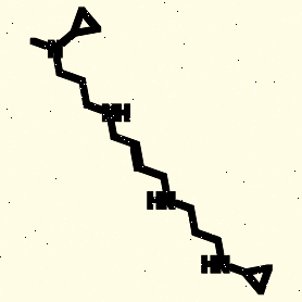 CN(CCCNC/C=C/CNCCCNC1CC1)C1CC1